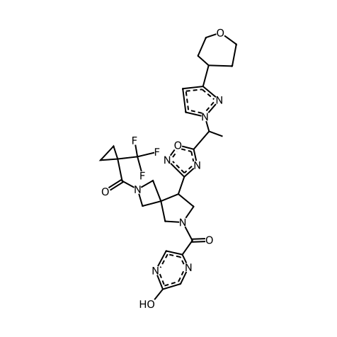 CC(c1nc(C2CN(C(=O)c3cnc(O)cn3)CC23CN(C(=O)C2(C(F)(F)F)CC2)C3)no1)n1ccc(C2CCOCC2)n1